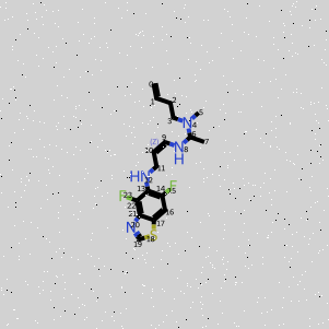 C=CCCN(C)C(C)N/C=C\CNc1c(F)cc2scnc2c1F